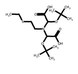 CCSCCN(C(OC(C)(C)C)C(=O)O)C(OC(C)(C)C)C(=O)O